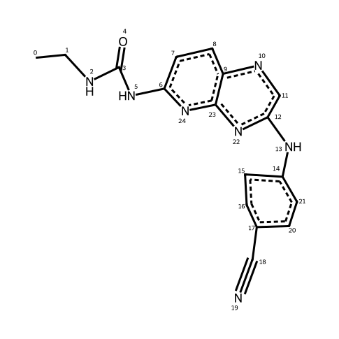 CCNC(=O)Nc1ccc2ncc(Nc3ccc(C#N)cc3)nc2n1